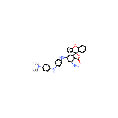 CCCCN(CCCC)c1ccc(Nc2ccc(Nc3cc(N)c4c(c3)C3(OC4=O)c4ccccc4Oc4ccccc43)cc2)cc1